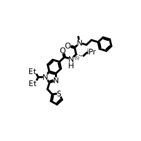 CCC(CC)n1c(Cc2cccs2)nc2cc(C(=O)N[C@@H](CC(C)C)C(=O)N(C)CCc3ccccc3)ccc21